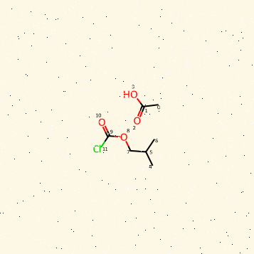 CC(=O)O.CC(C)COC(=O)Cl